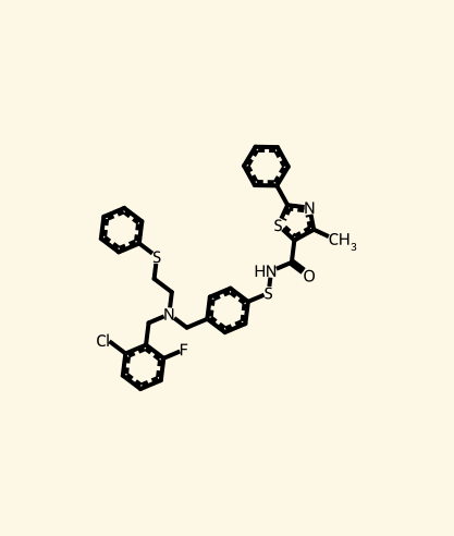 Cc1nc(-c2ccccc2)sc1C(=O)NSc1ccc(CN(CCSc2ccccc2)Cc2c(F)cccc2Cl)cc1